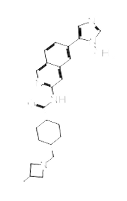 Cn1cncc1-c1ccc2cnc(NC(=O)[C@H]3CC[C@H](CN4CC(F)C4)CC3)cc2c1